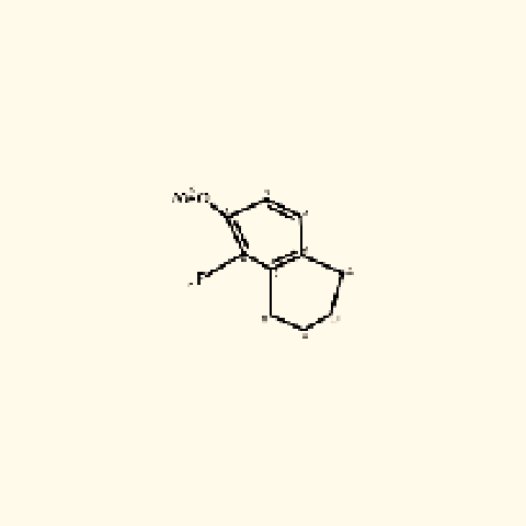 COc1ccc2c(c1F)CCCC2